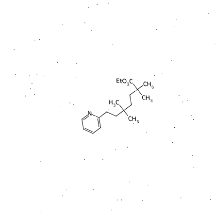 CCOC(=O)C(C)(C)CCC(C)(C)CCc1ccccn1